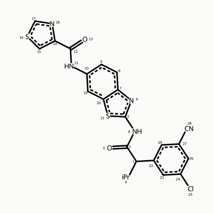 CC(C)C(C(=O)Nc1nc2ccc(NC(=O)c3cscn3)cc2s1)c1cc(Cl)cc(C#N)c1